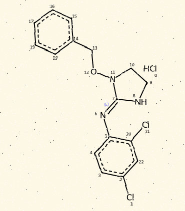 Cl.Clc1ccc(/N=C2\NCCN2OCc2ccccc2)c(Cl)c1